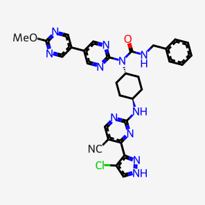 COc1ncc(-c2cnc(N(C(=O)NCc3ccccc3)[C@H]3CC[C@H](Nc4ncc(C#N)c(-c5n[nH]cc5Cl)n4)CC3)nc2)cn1